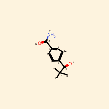 CC(C)(C)C(=O)c1ccc(C(N)=O)cc1